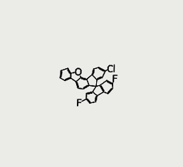 Fc1ccc2c(c1)C1(c3cc(F)ccc3-2)c2cc(Cl)ccc2-c2c1ccc1c2oc2ccccc21